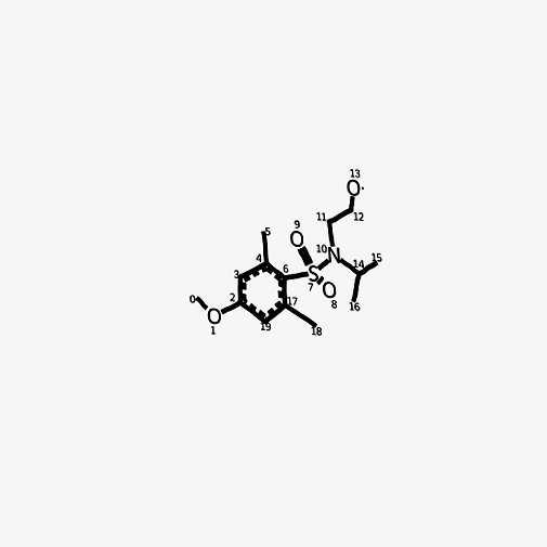 COc1cc(C)c(S(=O)(=O)N(CC[O])C(C)C)c(C)c1